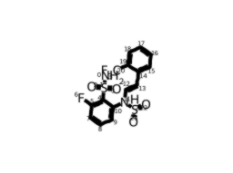 NS(=O)(=O)c1c(F)cccc1N(C=Cc1ccccc1C(F)(F)F)[SH](=O)=O